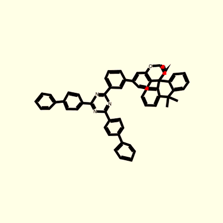 CC1(C)c2ccccc2C2(c3ccccc3Oc3cc(-c4cccc(-c5nc(-c6ccc(-c7ccccc7)cc6)nc(-c6ccc(-c7ccccc7)cc6)n5)c4)ccc32)c2ccccc21